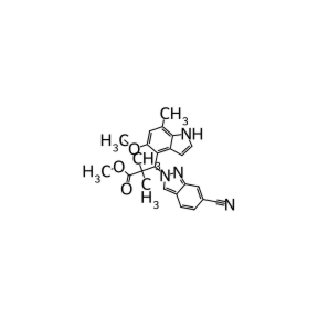 COC(=O)C(C)(C)C(c1c(OC)cc(C)c2[nH]ccc12)n1cc2ccc(C#N)cc2n1